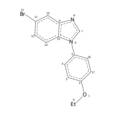 CCOc1ccc(-n2cnc3cc(Br)ccc32)cc1